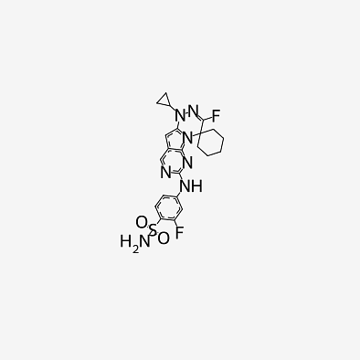 NS(=O)(=O)c1ccc(Nc2ncc3cc4n(c3n2)C2(CCCCC2)C(F)=NN4C2CC2)cc1F